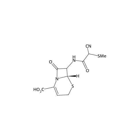 CSC(C#N)C(=O)NC1C(=O)N2C(C(=O)O)=CCS[C@@H]12